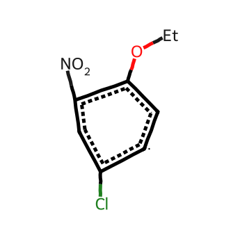 CCOc1c[c]c(Cl)cc1[N+](=O)[O-]